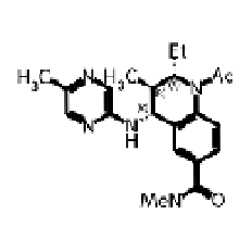 CC[C@H]1[C@H](C)[C@@H](Nc2cnc(C)cn2)c2cc(C(=O)NC)ccc2N1C(C)=O